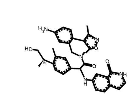 Cc1cc(C(Nc2ccc3cc[nH]c(=O)c3c2)C(=O)N(C)Cc2cc(N)ccc2-c2c(C)noc2C)ccc1[C@@H](C)CO